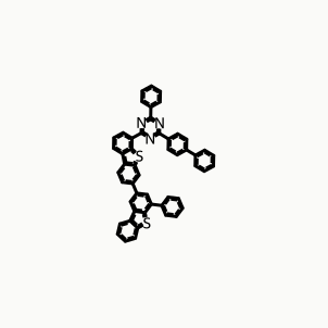 c1ccc(-c2ccc(-c3nc(-c4ccccc4)nc(-c4cccc5c4sc4cc(-c6cc(-c7ccccc7)c7sc8ccccc8c7c6)ccc45)n3)cc2)cc1